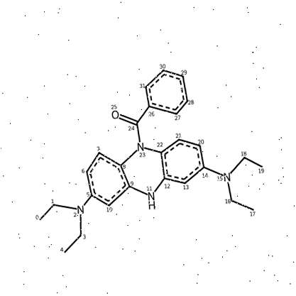 CCN(CC)c1ccc2c(c1)Nc1cc(N(CC)CC)ccc1N2C(=O)c1ccccc1